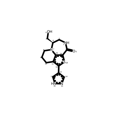 O=C1NC[C@H](CO)N2CCCc3c(-c4cn[nH]c4)sc1c32